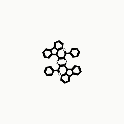 O=C(C1=C(C2c3ccccc3-c3ccccc32)SC(C(=O)c2ccccc2)=C(C2c3ccccc3-c3ccccc32)S1)c1ccccc1